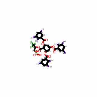 O=C(Oc1cc(OC(=O)c2cc(I)cc(I)c2I)c(C(=O)OC(CS(=O)(=O)O)C(F)(F)F)c(OC(=O)c2cc(I)cc(I)c2I)c1)c1cc(I)cc(I)c1I